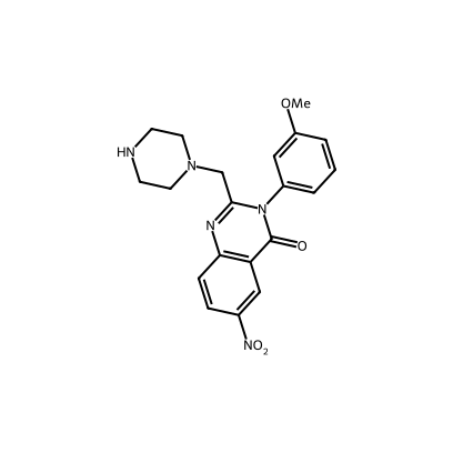 COc1cccc(-n2c(CN3CCNCC3)nc3ccc([N+](=O)[O-])cc3c2=O)c1